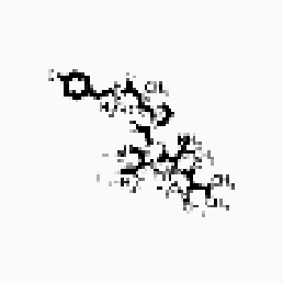 CC[C@H](C)[C@@H]([C@@H](CC(=O)N1CCC[C@H]1[C@H](OC)[C@@H](C)C(=O)NCCc1ccc(Cl)cc1)OC)N(C)C(=O)[C@H](NC(=O)C(C(C)C)N(C)C)[C@H](C)N